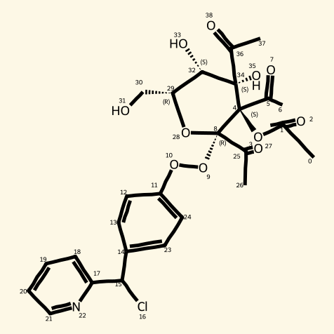 CC(=O)O[C@@]1(C(C)=O)[C@@](OOc2ccc(C(Cl)c3ccccn3)cc2)(C(C)=O)O[C@H](CO)[C@H](O)[C@@]1(O)C(C)=O